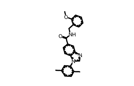 COc1ccccc1CNC(=O)c1ccc2c(c1)ncn2-c1cc(C)ccc1C